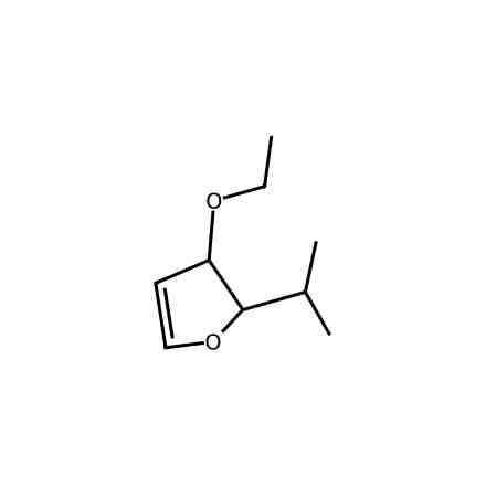 CCOC1C=COC1C(C)C